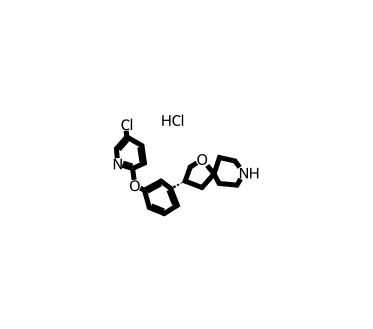 Cl.Clc1ccc(Oc2cccc([C@@H]3COC4(CCNCC4)C3)c2)nc1